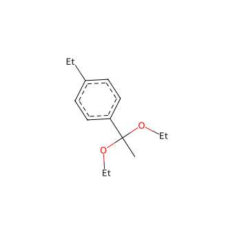 CCOC(C)(OCC)c1ccc(CC)cc1